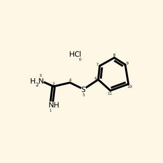 Cl.N=C(N)CSc1ccccc1